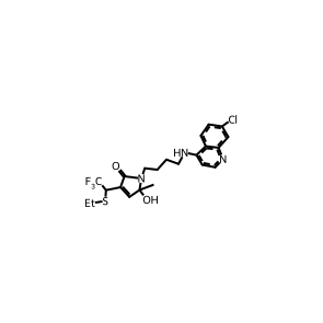 CCSC(C1=CC(C)(O)N(CCCCNc2ccnc3cc(Cl)ccc23)C1=O)C(F)(F)F